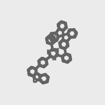 c1ccc(-c2nc(-c3ccc(-c4cccc5oc6ccccc6c45)cc3)nc(-c3ccccc3-c3ccc4c(c3)-c3ccccc3C43c4ccccc4-c4ccccc43)n2)cc1